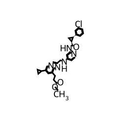 CCOC(=O)CCc1cc(C2CC2)cn2cc(CNc3ccnc(NC(=O)[C@H]4C[C@@H]4c4cccc(Cl)c4)c3)nc12